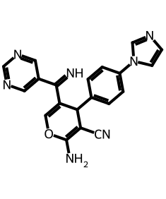 N#CC1=C(N)OC=C(C(=N)c2cncnc2)C1c1ccc(-n2ccnc2)cc1